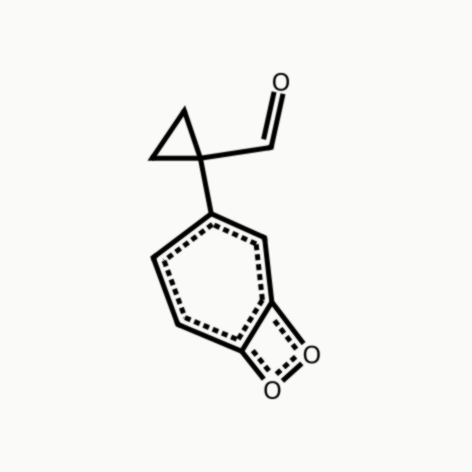 O=CC1(c2ccc3ooc3c2)CC1